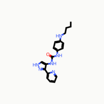 CCCCNc1ccc(NC(=O)Nc2c[nH]nc2-c2ccccn2)cc1